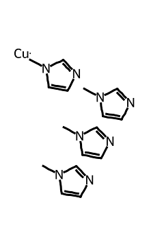 Cn1ccnc1.Cn1ccnc1.Cn1ccnc1.Cn1ccnc1.[Cu]